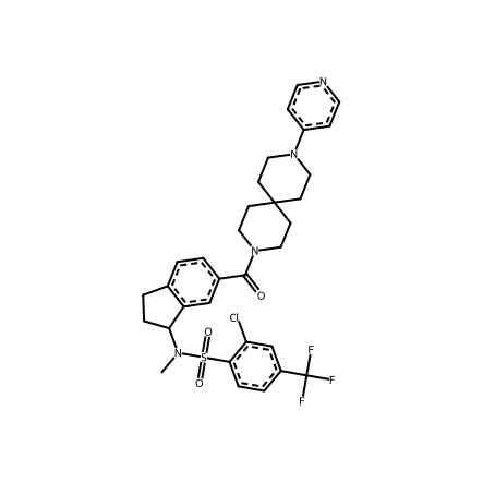 CN(C1CCc2ccc(C(=O)N3CCC4(CC3)CCN(c3ccncc3)CC4)cc21)S(=O)(=O)c1ccc(C(F)(F)F)cc1Cl